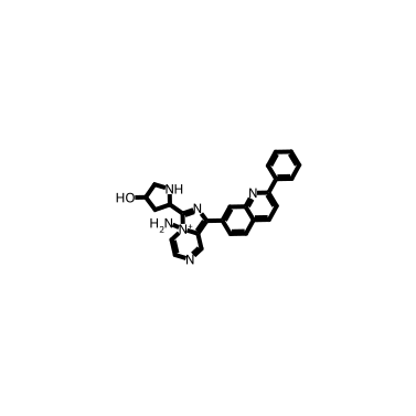 N[N+]12C=CN=CC1=C(c1ccc3ccc(-c4ccccc4)nc3c1)N=C2C1CC(O)CN1